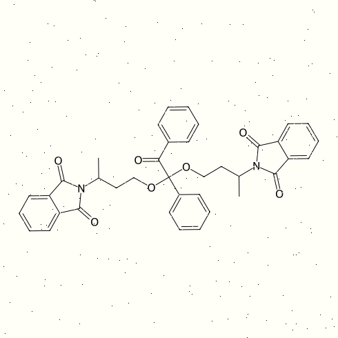 CC(CCOC(OCCC(C)N1C(=O)c2ccccc2C1=O)(C(=O)c1ccccc1)c1ccccc1)N1C(=O)c2ccccc2C1=O